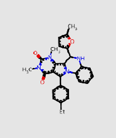 CCc1ccc(-c2c3c(=O)n(C)c(=O)n(C)c3c3n2-c2ccccc2NC3c2ccc(C)o2)cc1